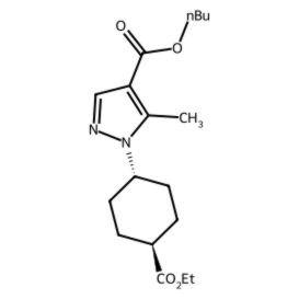 CCCCOC(=O)c1cnn([C@H]2CC[C@H](C(=O)OCC)CC2)c1C